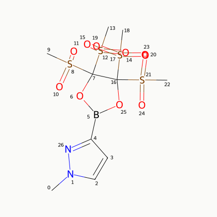 Cn1ccc(B2OC(S(C)(=O)=O)(S(C)(=O)=O)C(S(C)(=O)=O)(S(C)(=O)=O)O2)n1